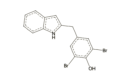 Oc1c(Br)cc(Cc2cc3ccccc3[nH]2)cc1Br